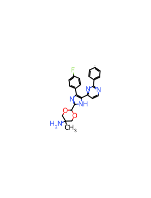 CC1(N)COC(c2nc(-c3ccc(F)cc3)c(-c3ccnc(-c4cc[c]cc4)n3)[nH]2)OC1